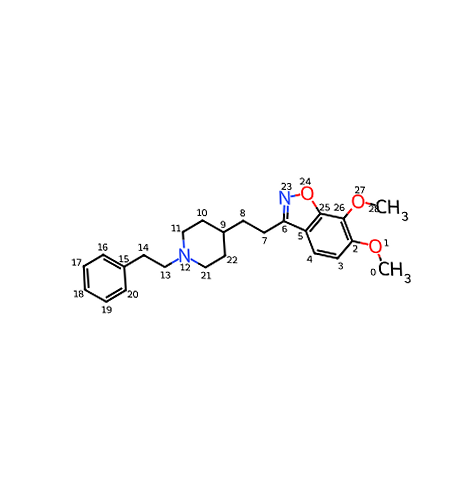 COc1ccc2c(CCC3CCN(CCc4ccccc4)CC3)noc2c1OC